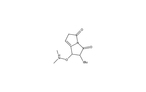 C[SiH](C)OC1C2=CCC(=O)N2C(=O)C1C(C)(C)C